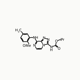 COc1ccc(C)cc1Nc1nccn2c(NC(=O)OC(C)C)nnc12